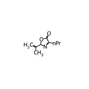 C=C(C)C1N=C(CCC)C(=O)O1